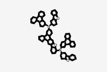 c1ccc2c(c1)oc1ccc(N(c3ccc4c5ccccc5c5ccccc5c4c3)c3ccc4c(c3)c3ccccc3c3cc5c(cc43)oc3c(N(c4ccc6oc7ccccc7c6c4)c4ccc6c7ccccc7c7ccccc7c6c4)cccc35)cc12